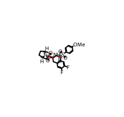 COc1ccc(S(=O)(=O)NCCS(=O)(=O)N2[C@@H]3CC[C@H]2C[C@H]([C@H](N)Cc2cc(F)c(F)cc2F)C3)cc1